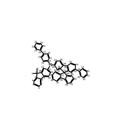 CC1(C)c2ccccc2-c2ccc(N(c3ccc(-c4ccccc4)cc3)c3ccc4c(c3)C3(c5ccccc5-c5ccccc53)c3cc(-c5ccccc5)ccc3-4)cc21